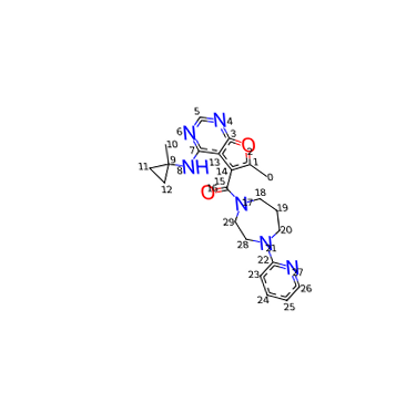 Cc1oc2ncnc(NC3(C)CC3)c2c1C(=O)N1CCCN(c2ccccn2)CC1